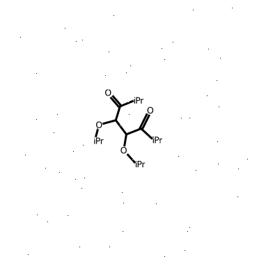 CC(C)OC(C(=O)C(C)C)C(OC(C)C)C(=O)C(C)C